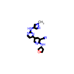 Cn1cc(Nc2nccc(-c3cnc(N[C@@H]4CCOC4)c(C#N)c3)n2)cn1